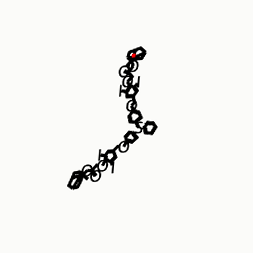 CC1(OC(=O)COc2c(I)cc(COc3ccc([S+](c4ccccc4)c4ccc(OCc5cc(I)c(OCC(=O)OC6(C)C7CC8CC(C7)CC6C8)c(I)c5)cc4)cc3)cc2I)C2CC3CC(C2)CC1C3